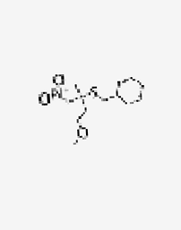 COCCC(C)(C[N+](=O)[O-])SCC1C=CC=CC1